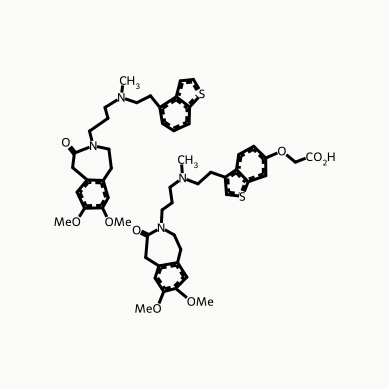 COc1cc2c(cc1OC)CC(=O)N(CCCN(C)CCc1cccc3sccc13)CC2.COc1cc2c(cc1OC)CC(=O)N(CCCN(C)CCc1csc3cc(OCC(=O)O)ccc13)CC2